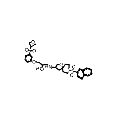 O=S(=O)(c1cccc(OCC(O)CNC2COC3(CCN(S(=O)(=O)c4ccc5ccccc5c4)CC3)C2)c1)C1COC1